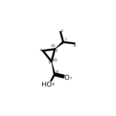 CC(C)[C@@H]1C[C@@H]1C(=O)O